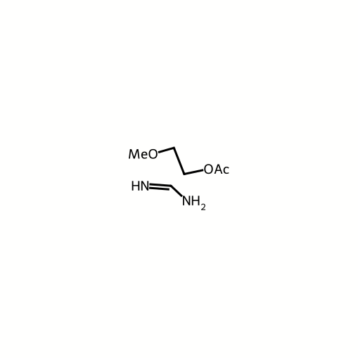 COCCOC(C)=O.N=CN